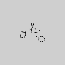 CCC1(Cc2ccccc2)CC(=O)N(Cc2ccccc2)C1